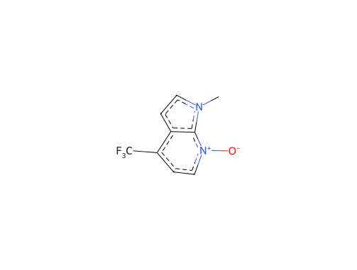 Cn1ccc2c(C(F)(F)F)cc[n+]([O-])c21